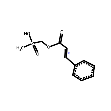 CP(=O)(O)COC(=O)/C=C/c1ccccc1